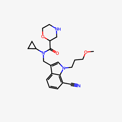 COCCCn1cc(CN(C(=O)C2CNCCO2)C2CC2)c2cccc(C#N)c21